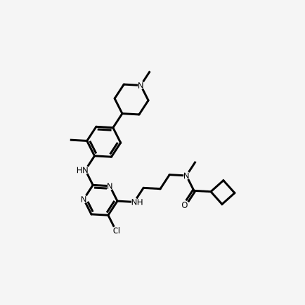 Cc1cc(C2CCN(C)CC2)ccc1Nc1ncc(Cl)c(NCCCN(C)C(=O)C2CCC2)n1